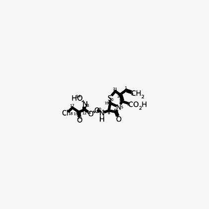 C=CC1=C(C(=O)O)N2C(=O)C(NOOC(=NO)C(=O)CCl)C2SC1